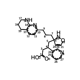 O=C(O)CC(CC1(CCCc2ccc3c(n2)NCCC3)C=CON1)c1cccnc1